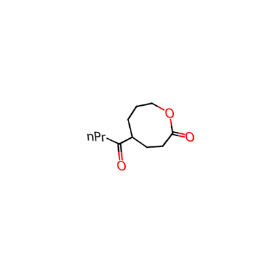 CCCC(=O)C1CCCOC(=O)CC1